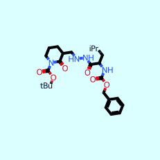 CC(C)CC(NC(=O)OCc1ccccc1)C(=O)NNCC1CCCN(C(=O)OC(C)(C)C)C1=O